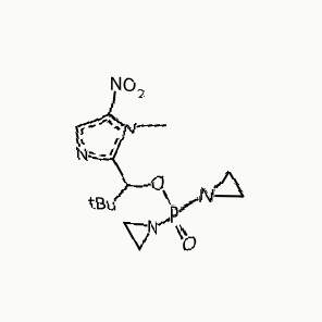 Cn1c([N+](=O)[O-])cnc1C(OP(=O)(N1CC1)N1CC1)C(C)(C)C